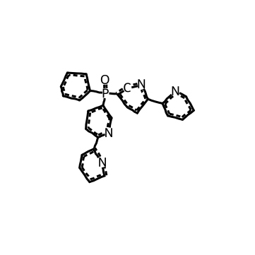 O=P(c1ccccc1)(c1ccc(-c2ccccn2)nc1)c1ccc(-c2ccccn2)nc1